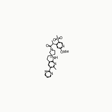 COc1cc(C(C)C(=O)N2CC[C@@]3(CCc4cc(-c5ncccn5)c(C)nc4N3)C2)c(S(C)(=O)=O)cn1